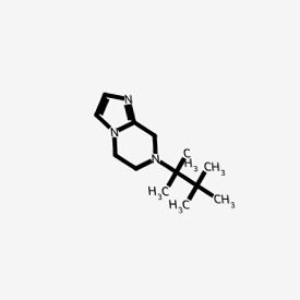 CC(C)(C)C(C)(C)N1CCn2ccnc2C1